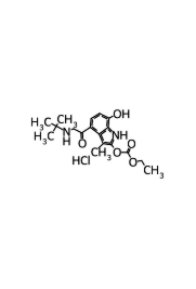 CCOC(=O)Oc1[nH]c2c(O)ccc(C(=O)CNC(C)(C)C)c2c1C.Cl